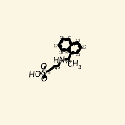 C[C@H](NCCCS(=O)(=O)O)c1cccc2ccccc12